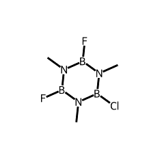 CN1B(F)N(C)B(Cl)N(C)B1F